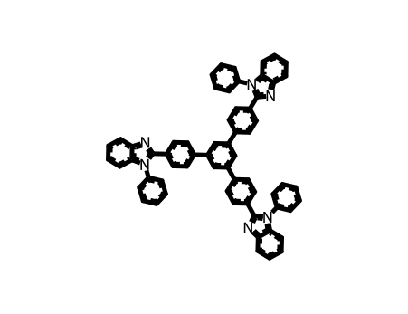 c1ccc(-n2c(-c3ccc(-c4cc(-c5ccc(-c6nc7ccccc7n6-c6ccccc6)cc5)cc(-c5ccc(-c6nc7ccccc7n6-c6ccccc6)cc5)c4)cc3)nc3ccccc32)cc1